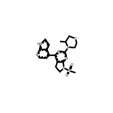 CC1COCCN1c1nc(-c2ccnc3[nH]ccc23)c2c(n1)N(S(C)(=O)=O)CC2